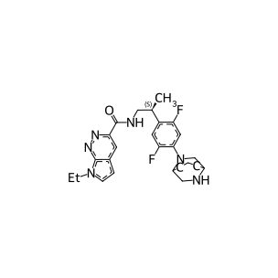 CCn1ccc2cc(C(=O)NC[C@@H](C)c3cc(F)c(N4CC5CCCC4CN5)cc3F)nnc21